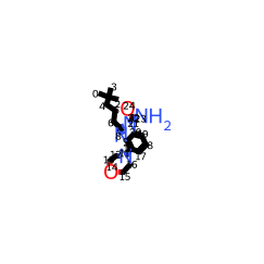 CC(C)(C)CCCc1nc2c(N3CCOCC3)cccc2n1C(N)=O